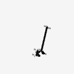 CCCN(CC#CCN/C(=N\c1cccc(C#N)c1)NCCOCCOCCOCCOCCOCCOCCOCCOCCOCCOCCC(O)O)C(=O)C1=Cc2sccc2N=C(N)C1